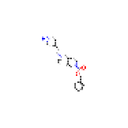 CN(CCC1CCNCC1)CC1CCN(C(=O)OCc2ccccc2)CC1